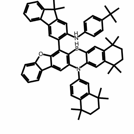 CC(C)(C)c1ccc(Nc2cc3c(cc2-c2c4c(cc5c2oc2ccccc25)N(c2ccc5c(c2)C(C)(C)CCC5(C)C)c2cc5c(cc2B4)C(C)(C)CCC5(C)C)-c2ccccc2C3(C)C)cc1